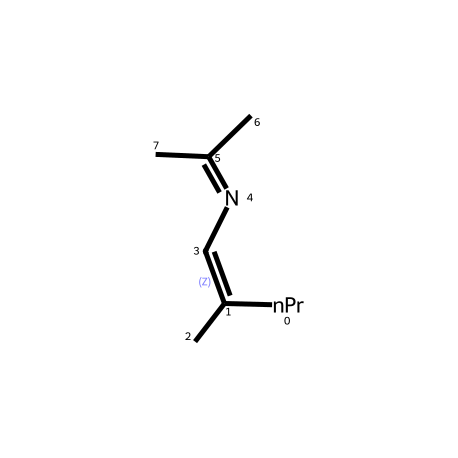 CCC/C(C)=C\N=C(C)C